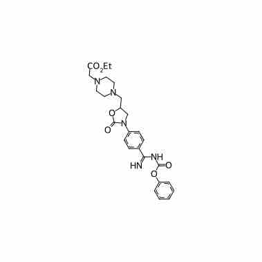 CCOC(=O)CN1CCN(CC2CN(c3ccc(C(=N)NC(=O)Oc4ccccc4)cc3)C(=O)O2)CC1